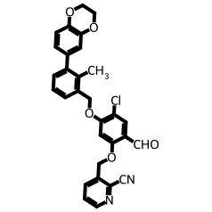 Cc1c(COc2cc(OCc3cccnc3C#N)c(C=O)cc2Cl)cccc1-c1ccc2c(c1)OCCO2